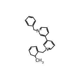 CC1CC=CC=C1C[n+]1cccc(-c2ccc[n+](Cc3ccccc3)c2)c1